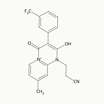 Cc1cc[n+]2c(=O)c(-c3cccc(C(F)(F)F)c3)c(O)n(CCC#N)c2c1